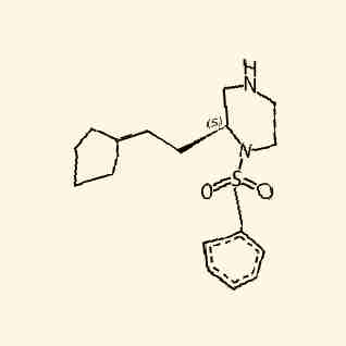 O=S(=O)(c1ccccc1)N1CCNC[C@@H]1CCC1CCCC1